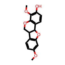 COc1ccc2c(c1)OC1c3ccc(O)c(OC)c3OCC21